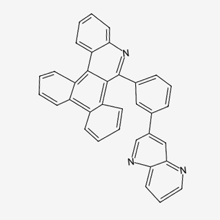 c1cc(-c2cnc3cccnc3c2)cc(-c2nc3ccccc3c3c4ccccc4c4ccccc4c23)c1